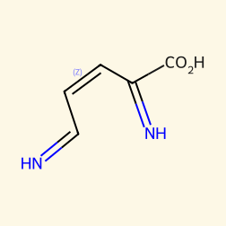 N=C/C=C\C(=N)C(=O)O